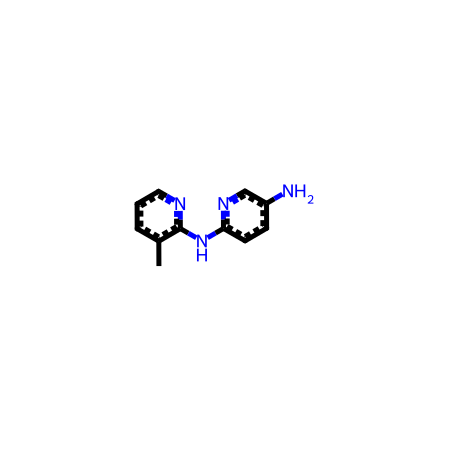 Cc1cccnc1Nc1ccc(N)cn1